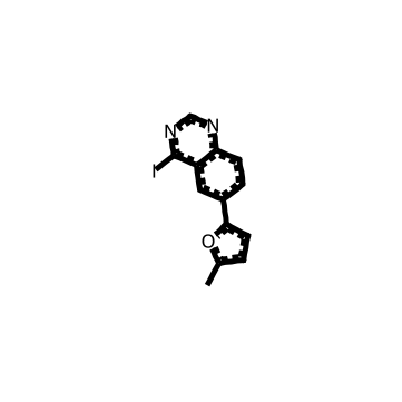 Cc1ccc(-c2ccc3ncnc(I)c3c2)o1